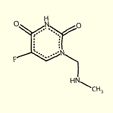 CNCn1cc(F)c(=O)[nH]c1=O